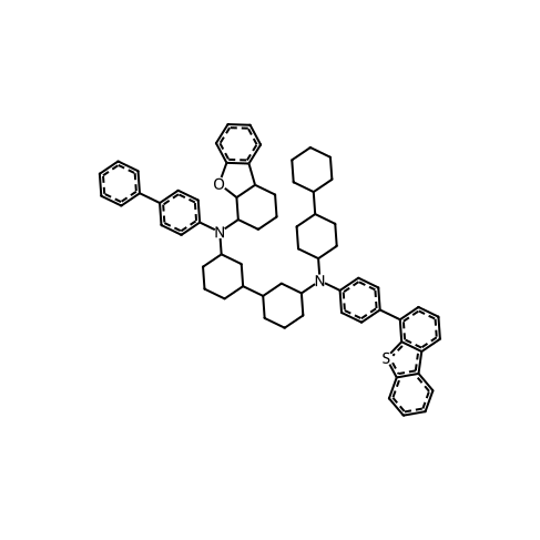 c1ccc(-c2ccc(N(C3CCCC(C4CCCC(N(c5ccc(-c6cccc7c6sc6ccccc67)cc5)C5CCC(C6CCCCC6)CC5)C4)C3)C3CCCC4c5ccccc5OC43)cc2)cc1